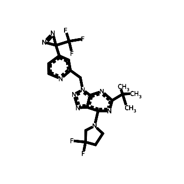 CC(C)(C)c1nc(N2CCC(F)(F)C2)c2nnn(Cc3cc(C4(C(F)(F)F)N=N4)ccn3)c2n1